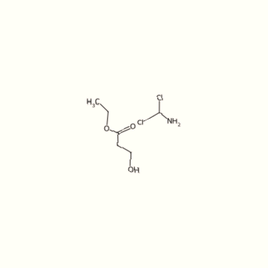 CCOC(=O)CCO.NC(Cl)Cl